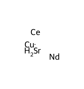 [Ce].[Cu].[Nd].[SrH2]